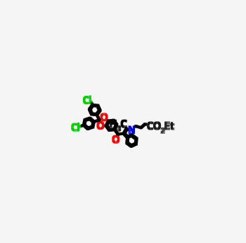 CCOC(=O)CCCn1c(C)c(C(=O)c2ccc3c(c2)OC(c2ccc(Cl)cc2)(c2ccc(Cl)cc2)O3)c2ccccc21